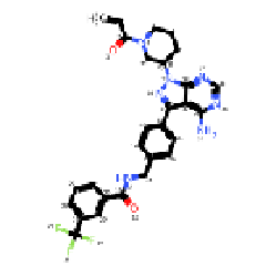 C=CC(=O)N1CCC[C@@H](n2nc(-c3ccc(CNC(=O)c4cccc(C(F)(F)F)c4)cc3)c3c(N)ncnc32)C1